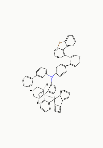 C[C@H]1C[C@@H]2C[C@@H](C)C[C@H](C1)C21c2ccccc2C2(c3ccccc3-c3ccccc32)c2ccc(N(c3ccc(-c4ccccc4-c4cccc5sc6ccccc6c45)cc3)c3cccc(-c4ccccc4)c3)cc21